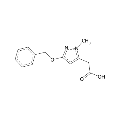 Cn1nc(OCc2ccccc2)cc1CC(=O)O